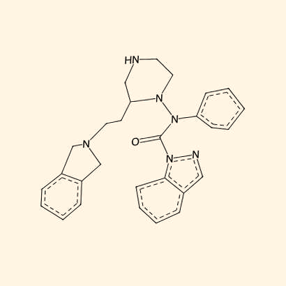 O=C(N(c1ccccc1)N1CCNCC1CCN1Cc2ccccc2C1)n1ncc2ccccc21